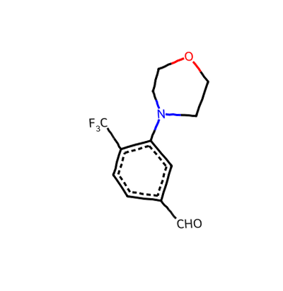 O=Cc1ccc(C(F)(F)F)c(N2CCOCC2)c1